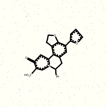 CC(C)C1Cc2cc(-c3ccco3)c3c(c2-c2cc(=O)c(C(=O)O)cn21)CCO3